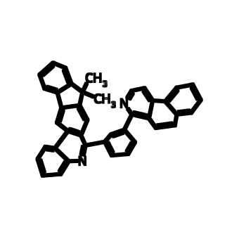 CC1(C)c2ccccc2-c2cc3c(cc21)c(-c1cccc(-c2nccc4c2ccc2ccccc24)c1)nc1ccccc13